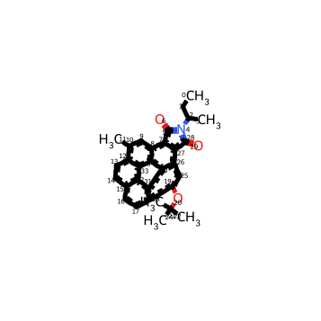 CCC(C)n1c(=O)c2c3cc(C)c4ccc5ccc6c(OC(C)(C)C)cc(c2c1=O)c1c6c5c4c31